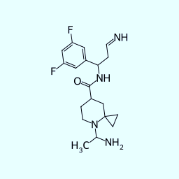 CC(N)N1CCC(C(=O)NC(CC=N)c2cc(F)cc(F)c2)CC12CC2